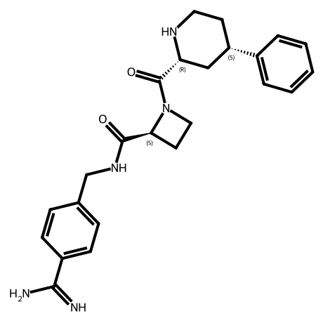 N=C(N)c1ccc(CNC(=O)[C@@H]2CCN2C(=O)[C@H]2C[C@@H](c3ccccc3)CCN2)cc1